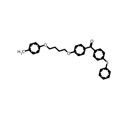 Cc1ccc(OCCCCOc2ccc(C(=O)c3ccc(Sc4ccccc4)cc3)cc2)cc1